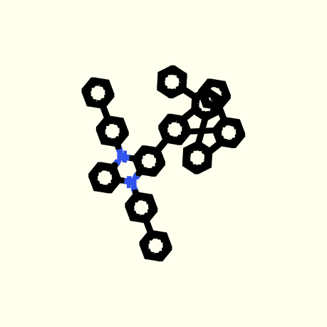 c1ccc(-c2ccc(N3c4ccccc4N(c4ccc(-c5ccccc5)cc4)c4cc(-c5ccc6c(c5)C5(c7ccccc7-c7cccc(-c8ccccc8)c75)c5cccc(-c7ccccc7)c5-6)ccc43)cc2)cc1